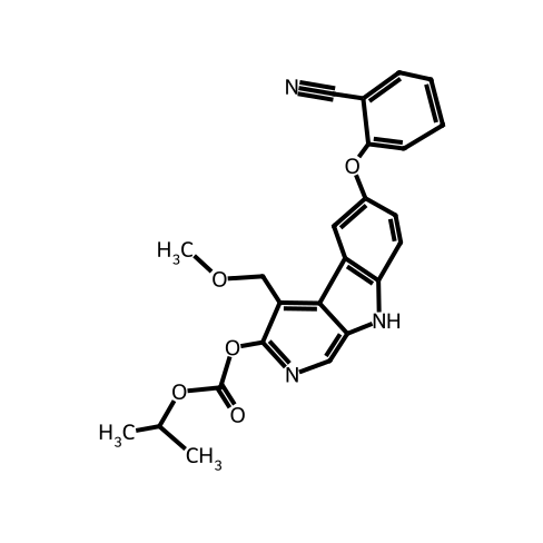 COCc1c(OC(=O)OC(C)C)ncc2[nH]c3ccc(Oc4ccccc4C#N)cc3c12